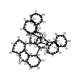 c1ccc(-c2nc(-c3ccccc3)nc(-c3cccc4oc5cccc(-c6nc(-c7ccccc7)nc(-c7ccccc7)n6)c5c34)n2)cc1